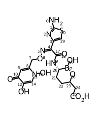 Nc1nc(C(=NOCc2cc(=O)c(O)cn2O)C(=O)N[C@H]2CCC(CC(=O)O)OB2O)cs1